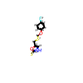 Fc1ccc(OCSCc2c[nH]c(=S)o2)cc1